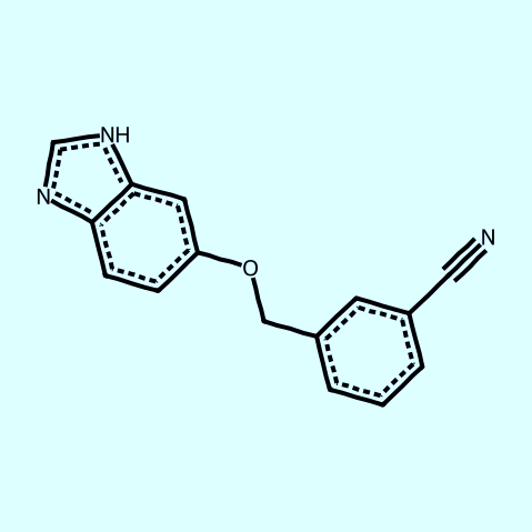 N#Cc1cccc(COc2ccc3nc[nH]c3c2)c1